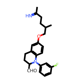 CC(=N)CCC(C)COc1ccc2c(c1)CCC(C=O)N2c1cccc(F)c1